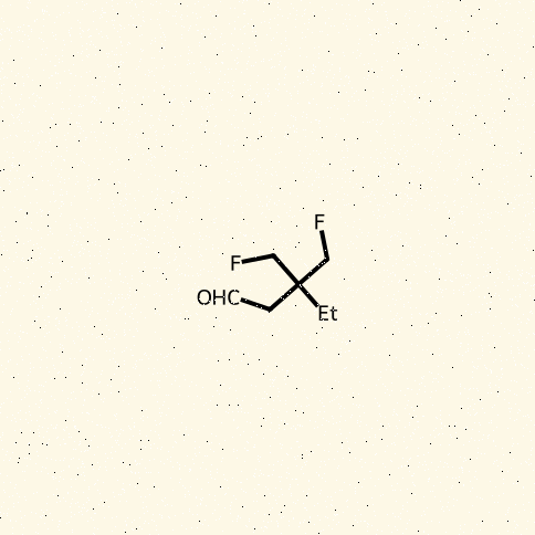 CCC(CF)(CF)CC=O